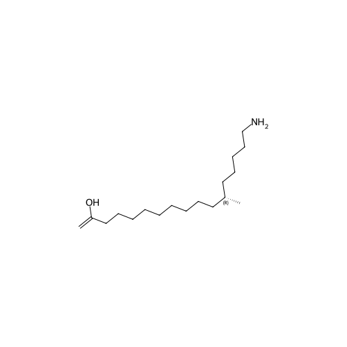 C=C(O)CCCCCCCCC[C@@H](C)CCCCCN